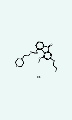 CCCOc1cc(OC)c2c(c1)C(=O)c1cccc(NOCCN3CCOCC3)c1-2.Cl